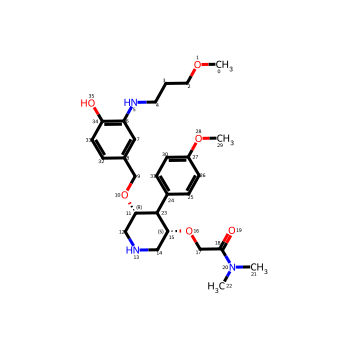 COCCCNc1cc(CO[C@H]2CNC[C@@H](OCC(=O)N(C)C)C2c2ccc(OC)cc2)ccc1O